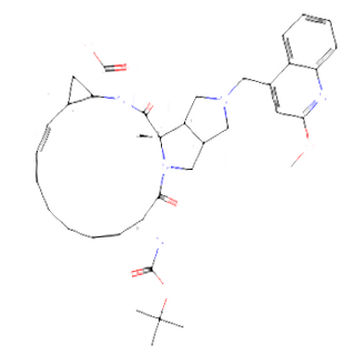 COc1cc(CN2C[C@H]3CN4C(=O)[C@H](NC(=O)OC(C)(C)C)CCCCC/C=C\[C@H]5C[C@@]5(C(=O)O)NC(=O)[C@@H]4[C@H]3C2)c2ccccc2n1